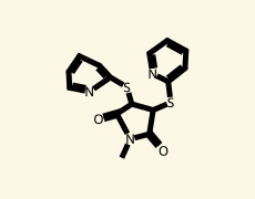 CN1C(=O)C(Sc2ccccn2)C(Sc2ccccn2)C1=O